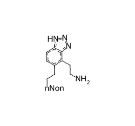 CCCCCCCCCCCc1ccc2[nH]nnc2c1CCN